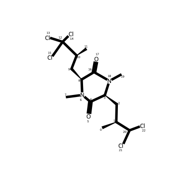 C[C@@H](C[C@H]1C(=O)N(C)[C@@H](C[C@H](C)C(Cl)(Cl)Cl)C(=O)N1C)C(Cl)Cl